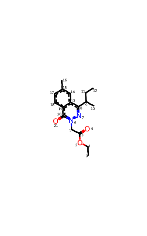 CCOC(=O)Cn1nc(C(C)CC)c2cc(C)ccc2c1=O